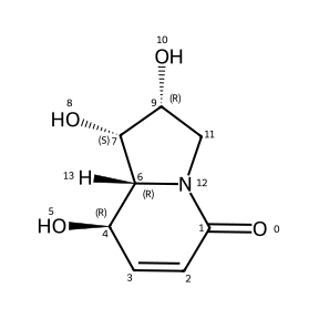 O=C1C=C[C@@H](O)[C@@H]2[C@H](O)[C@H](O)CN12